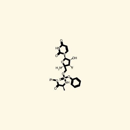 CC(C)OC(=O)[C@H](C)NP(=S)(OC[C@@]1(N)O[C@@H](n2ccc(=O)[nH]c2=O)[C@H](O)[C@@H]1F)Oc1ccccc1